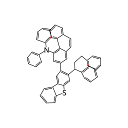 c1ccc(CCC(c2ccccc2)c2cc3sc4ccccc4c3cc2-c2cc(N(c3ccccc3)c3ccccc3)c3c(ccc4ccccc43)c2)cc1